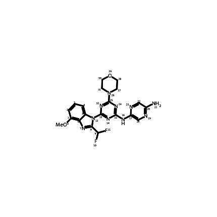 COc1cccc2c1nc(C(F)F)n2-c1nc(Nc2cnc(N)cn2)nc(N2CCOCC2)n1